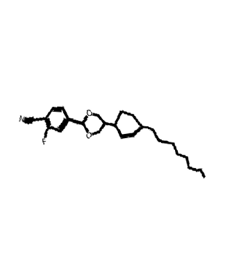 CCCCCCCCC1CCC(C2COC(c3ccc(C#N)c(F)c3)OC2)CC1